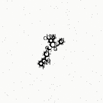 O=C(C[C@@H]1Cc2cc(Cl)c3[nH]ncc3c2CN(Cc2ccncc2)C1=O)N1CCC(c2cc3cccc(F)c3[nH]c2=O)CC1